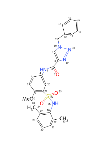 COc1ccc(NC(=O)c2cn(Cc3ccccc3)nn2)cc1S(=O)(=O)Nc1c(C)cccc1C